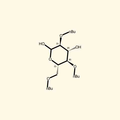 CCCCOC[C@@H]1OC(O)[C@@H](OCCCC)[C@H](O)[C@H]1OCCCC